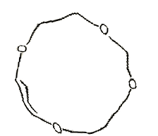 C1=C\OCCOCOCCO/1